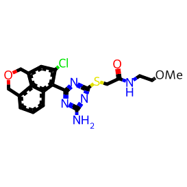 COCCNC(=O)CSc1nc(N)nc(-c2c(Cl)cc3c4c(cccc24)COC3)n1